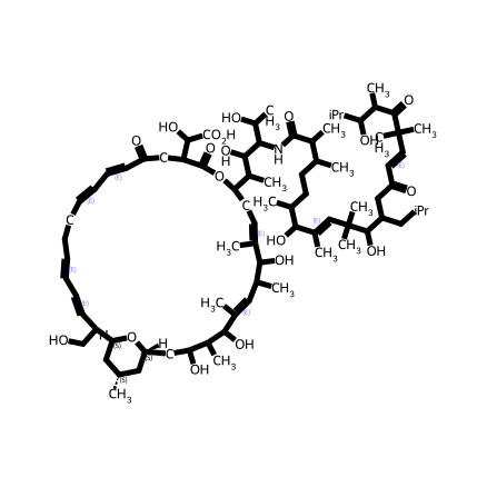 C/C1=C\CC(C(C)C(O)C(NC(=O)C(C)C(C)CCC(C)C(O)/C(C)=C/C(C)(C)C(O)C(CC(=O)/C=C/C(C)(C)C(=O)C(C)C(O)C(C)C)CC(C)C)C(C)O)OC(=O)C(C(O)C(=O)O)CC(=O)/C=C/C=C/CC/C=C/C=C/C(CO)[C@@H]2C[C@@H](C)C[C@@H](CC(O)C(C)C(O)/C(C)=C/C(C)C1O)O2